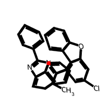 CC1C/C=C(c2ccccc2)/N=C(c2ccccc2)\N=C/1c1cc(Cl)cc2oc3ccccc3c12